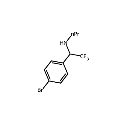 CCCNC(c1ccc(Br)cc1)C(F)(F)F